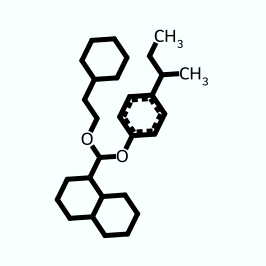 CCC(C)c1ccc(OC(OCCC2CCCCC2)C2CCCC3CCCCC32)cc1